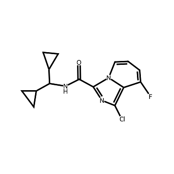 O=C(NC(C1CC1)C1CC1)c1nc(Cl)c2c(F)cccn12